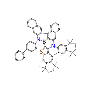 Cc1cc2c(cc1N1c3cc4ccccc4c4c3B(c3sc5cc6c(cc5c31)C(C)(C)CCC6(C)C)N(c1ccc(-c3ccccc3)cc1)c1cc3ccccc3cc1-4)C(C)(C)CCC2(C)C